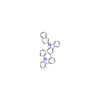 c1ccc(-n2c3ccccc3c3cccc(-c4ccc5c(c4)c4ccccc4n5-c4ccc5ccccc5c4)c32)cc1